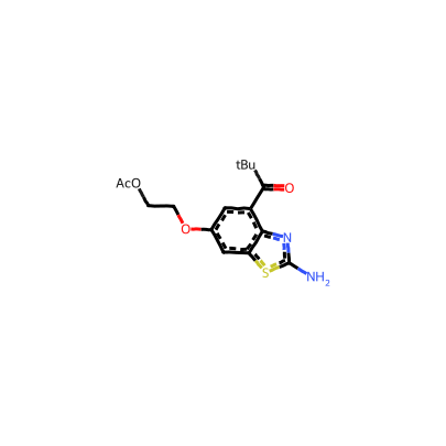 CC(=O)OCCOc1cc(C(=O)C(C)(C)C)c2nc(N)sc2c1